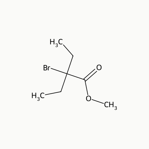 CCC(Br)(CC)C(=O)OC